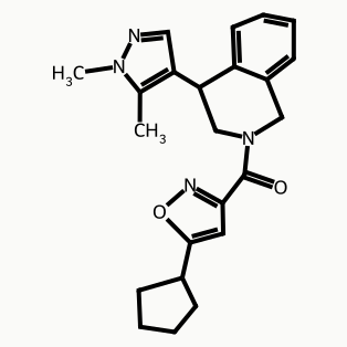 Cc1c(C2CN(C(=O)c3cc(C4CCCC4)on3)Cc3ccccc32)cnn1C